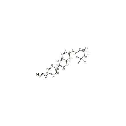 CC1(C)CC(Cc2ccc3cc(-c4ccc(CP)cc4)ccc3c2)CC(C)(C)C1